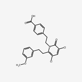 COc1cccc(CCc2c(Cl)cc(Cl)c(=O)n2CCc2ccc(C(=O)O)cc2)c1